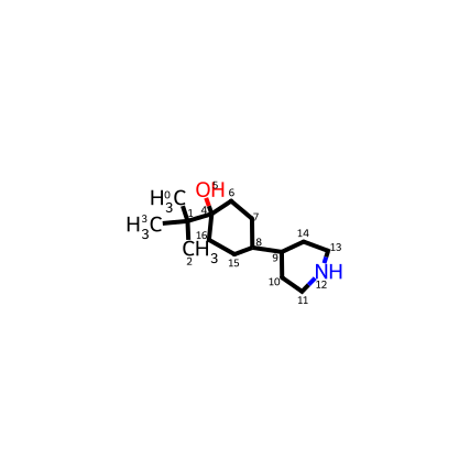 CC(C)(C)C1(O)CCC(C2CCNCC2)CC1